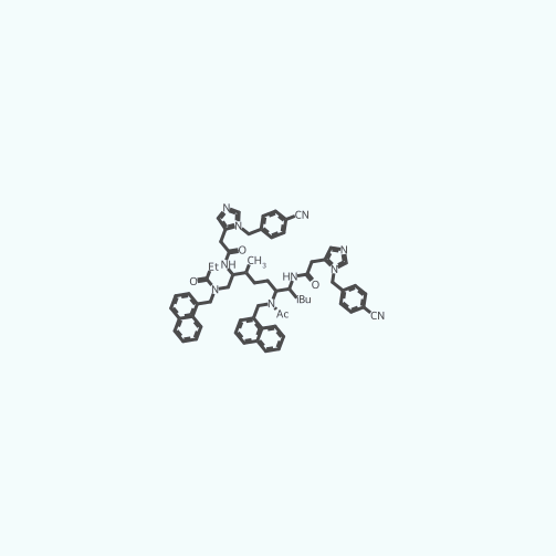 CCC(=O)N(Cc1cccc2ccccc12)CC(NC(=O)Cc1cncn1Cc1ccc(C#N)cc1)C(C)CCC(C(NC(=O)Cc1cncn1Cc1ccc(C#N)cc1)C(C)CC)N(Cc1cccc2ccccc12)C(C)=O